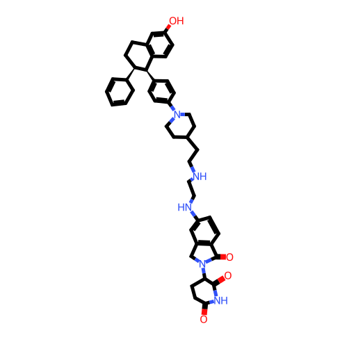 O=C1CCC(N2Cc3cc(NCCNCCC4CCN(c5ccc([C@@H]6c7ccc(O)cc7CC[C@@H]6C6C=CC=CC6)cc5)CC4)ccc3C2=O)C(=O)N1